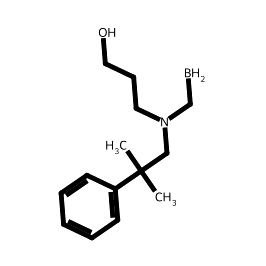 BCN(CCCO)CC(C)(C)c1ccccc1